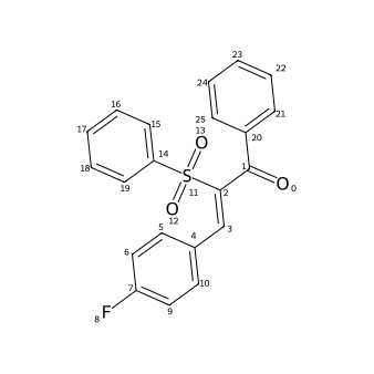 O=C(/C(=C/c1ccc(F)cc1)S(=O)(=O)c1ccccc1)c1ccccc1